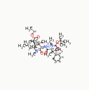 C=CC[C@@H](C=C(C)C(=O)OCC)N(C)C(=O)C(NC(=O)C(N(C)C(=O)OC(C)(C)C)C(C)(C)c1ccccc1)C(C)(C)C